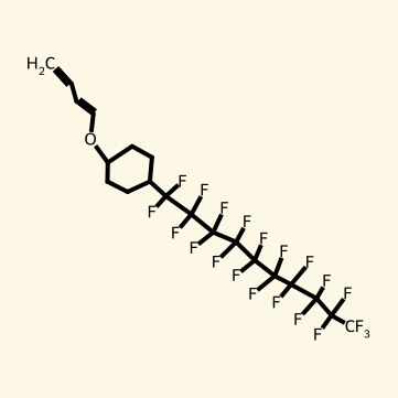 C=CC=COC1CCC(C(F)(F)C(F)(F)C(F)(F)C(F)(F)C(F)(F)C(F)(F)C(F)(F)C(F)(F)C(F)(F)C(F)(F)F)CC1